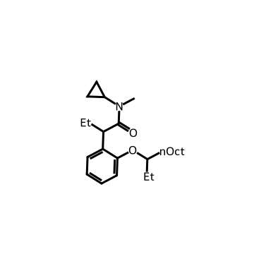 CCCCCCCCC(CC)Oc1ccccc1C(CC)C(=O)N(C)C1CC1